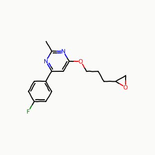 Cc1nc(OCCCC2CO2)cc(-c2ccc(F)cc2)n1